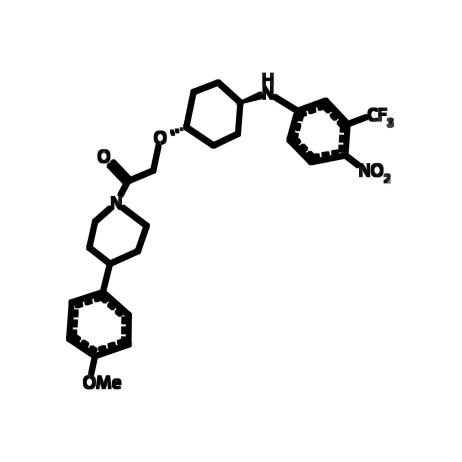 COc1ccc(C2CCN(C(=O)CO[C@H]3CC[C@H](Nc4ccc([N+](=O)[O-])c(C(F)(F)F)c4)CC3)CC2)cc1